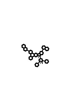 c1ccc(-c2cc(-n3c4ccc(-c5cccc6ccccc56)cc4c4cc5c6ccc(-c7ccc8ccccc8c7)cc6c6ccccc6c5cc43)cc(-c3ccccc3)n2)cc1